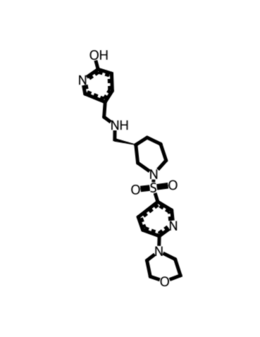 O=S(=O)(c1ccc(N2CCOCC2)nc1)N1CCC[C@H](CNCc2ccc(O)nc2)C1